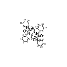 Cc1c(-c2c(C)c3ccccc3n2S(=O)(=O)c2ccccc2)n(S(=O)(=O)c2ccccc2)c2ccccc12